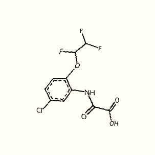 O=C(O)C(=O)Nc1cc(Cl)ccc1OC(F)C(F)F